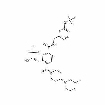 CC1CCCN(C2CCN(C(=O)c3ccc(C(=O)NCc4cccc(OC(F)(F)F)c4)cc3)CC2)C1.O=C(O)C(F)(F)F